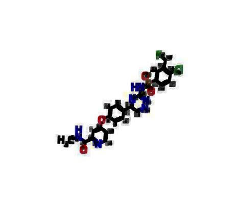 CNC(=O)c1cc(Oc2ccc(-c3cnnc(NS(=O)(=O)c4ccc(Cl)c(CF)c4)n3)cc2)ccn1